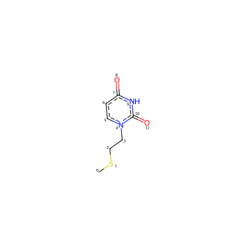 CSCCn1ccc(=O)[nH]c1=O